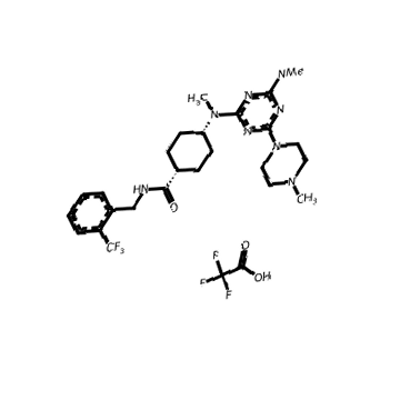 CNc1nc(N2CCN(C)CC2)nc(N(C)[C@H]2CC[C@@H](C(=O)NCc3ccccc3C(F)(F)F)CC2)n1.O=C(O)C(F)(F)F